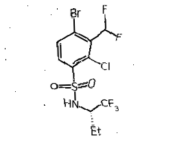 CC[C@H](NS(=O)(=O)c1ccc(Br)c(C(F)F)c1Cl)C(F)(F)F